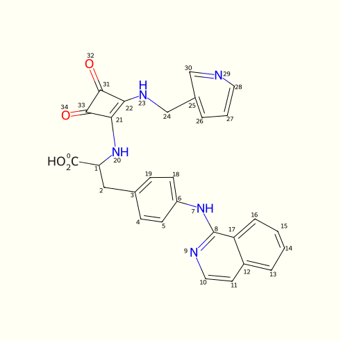 O=C(O)C(Cc1ccc(Nc2nccc3ccccc23)cc1)Nc1c(NCc2cccnc2)c(=O)c1=O